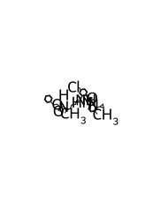 Cc1ccc(NC(=O)c2ccc(Cl)cc2NCCCCC(C)NC(=O)OCc2ccccc2)nc1C1CC1